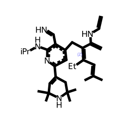 C=CNC(=C)/C(Cc1cc(C2=CC(C)(C)NC(C)(C)C2)nc(NC(C)C)c1C=N)=C(\C=C(C)C)CC